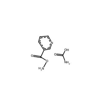 NC(=O)O.NOC(=O)c1cccnc1